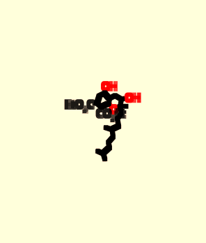 CCOC(=O)c1cc(O)c2c(c1C(=O)OCC)OC(C)(CC/C=C(\C)CCC=C(C)C)C(O)C2